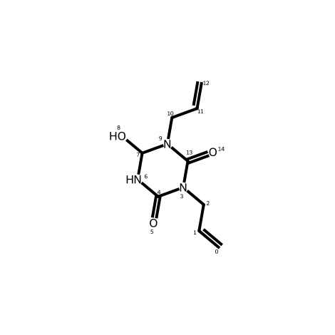 C=CCN1C(=O)NC(O)N(CC=C)C1=O